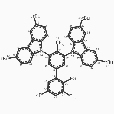 CC(C)(C)c1ccc2c(c1)c1cc(C(C)(C)C)ccc1n2-c1cc(-c2cc(F)cc(F)c2F)cc(-n2c3ccc(C(C)(C)C)cc3c3cc(C(C)(C)C)ccc32)c1C(F)(F)F